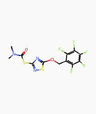 CN(C)C(=O)Sc1nsc(OCc2c(F)c(F)c(F)c(F)c2F)n1